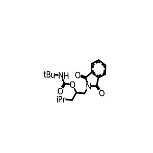 CC(C)CC(CN1C(=O)c2ccccc2C1=O)OC(=O)NC(C)(C)C